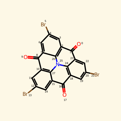 O=c1c2cc(Br)cc3c(=O)c4cc(Br)cc5c(=O)c6cc(Br)cc1c6n(c23)c45